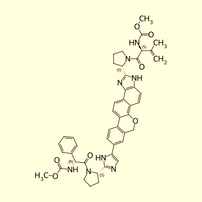 C=C(C)[C@H](NC(=O)OC)C(=O)N1CCC[C@H]1c1nc2c(ccc3c4c(ccc32)-c2ccc(-c3cnc([C@@H]5CCCN5C(=O)[C@H](NC(=O)OC)c5ccccc5)[nH]3)cc2CO4)[nH]1